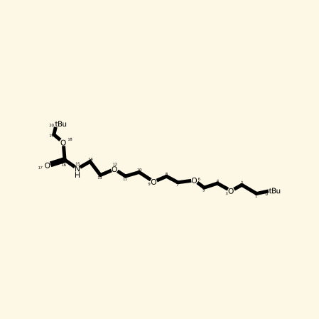 CC(C)(C)CCOCCOCCOCCOCCNC(=O)OCC(C)(C)C